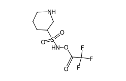 O=C(ONS(=O)(=O)C1CCCNC1)C(F)(F)F